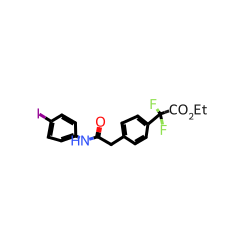 CCOC(=O)C(F)(F)c1ccc(CC(=O)Nc2ccc(I)cc2)cc1